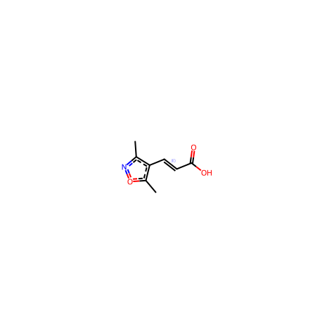 Cc1noc(C)c1/C=C/C(=O)O